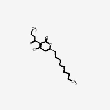 CCCCCCCCC[C@H]1CC(O)=C(C(=O)CCC)C(=O)O1